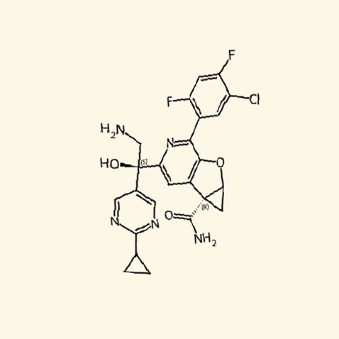 NC[C@@](O)(c1cnc(C2CC2)nc1)c1cc2c(c(-c3cc(Cl)c(F)cc3F)n1)OC1C[C@@]21C(N)=O